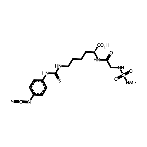 CNS(=O)(=O)NCC(=O)N[C@@H](CCCCNC(=S)Nc1ccc(N=C=S)cc1)C(=O)O